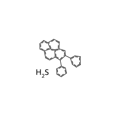 S.c1ccc(-c2cc3ccc4cccc5ccc(c2-c2ccccc2)c3c45)cc1